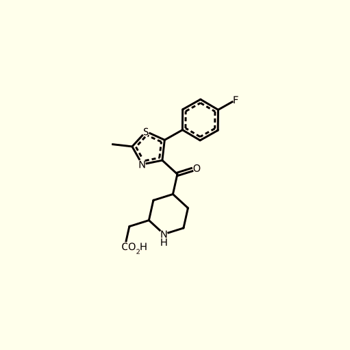 Cc1nc(C(=O)C2CCNC(CC(=O)O)C2)c(-c2ccc(F)cc2)s1